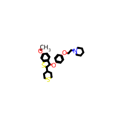 COc1ccc2c(c1)SC(C1CCSCC1)C2Oc1ccc(OCCN2CCCCC2)cc1